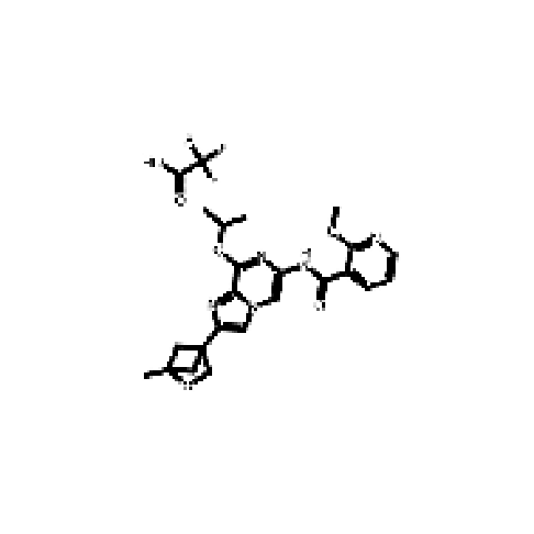 COc1ncccc1C(=O)Nc1cn2cc(C34COC(C)(C3)C4)nc2c(OC(C)C)n1.O=C(O)C(F)(F)F